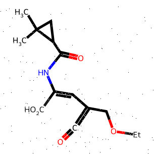 CCOCC(=C=O)C=C(NC(=O)C1CC1(C)C)C(=O)O